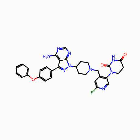 Nc1ncnc2c1c(-c1ccc(Oc3ccccc3)cc1)nn2C1CCN(Cc2cc(F)ncc2N2CCC(=O)NC2=O)CC1